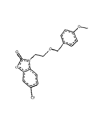 COc1ccc(COCCn2c(=O)oc3cc(Cl)ccc32)cc1